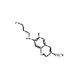 CCOC(=O)c1cnc2cc(NCCCCl)c(I)cc2c1